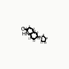 O=c1ccc2cc(N3CCCC3)ccc2[nH]1